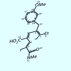 CC/C(C)=C(/C=C(\C=C(/C)C(=O)NC)C(=O)O)Cc1cccc(OC)c1